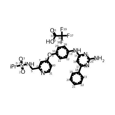 CC(C)S(=O)(=O)NCc1cc(Oc2ccc(Nc3cc(-c4ccccc4)nc(N)n3)cc2)ccn1.O=C(O)C(F)(F)F